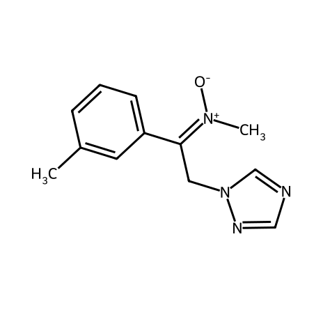 Cc1cccc(C(Cn2cncn2)=[N+](C)[O-])c1